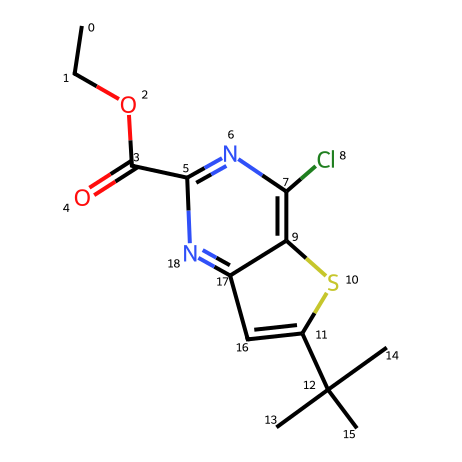 CCOC(=O)c1nc(Cl)c2sc(C(C)(C)C)cc2n1